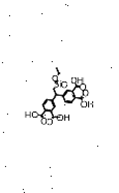 CCO[Si](=O)CC(c1ccc(C(=O)O)c(C(=O)O)c1)c1ccc(C(=O)O)c(C(=O)O)c1